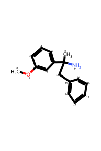 COc1cccc(C(C)(N)Cc2ccccc2)c1